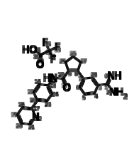 N=C(N)c1cccc(C2=C(C(=O)Nc3ccc(-c4ccccn4)cc3)CCC2)c1.O=C(O)C(F)(F)F